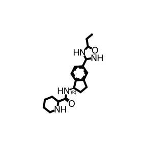 CCC1NC(c2ccc3c(c2)CC[C@H]3NC(=O)C2CCCCN2)NO1